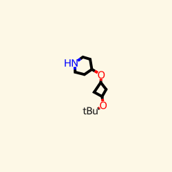 CC(C)(C)OC1CC(OC2CCNCC2)C1